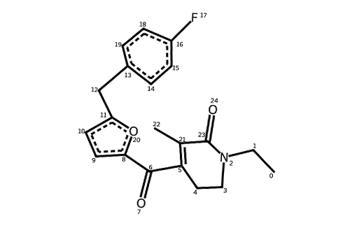 CCN1CCC(C(=O)c2ccc(Cc3ccc(F)cc3)o2)=C(C)C1=O